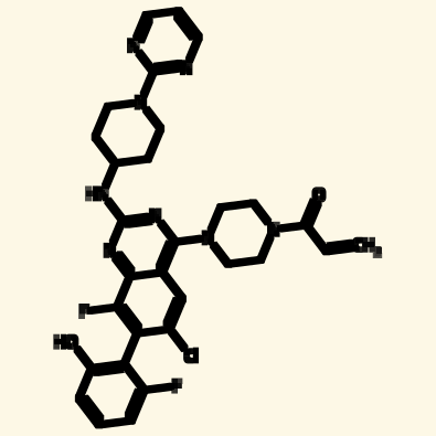 C=CC(=O)N1CCN(c2nc(NC3CCN(c4ncccn4)CC3)nc3c(F)c(-c4c(O)cccc4F)c(Cl)cc23)CC1